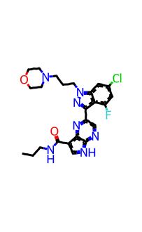 CCCNC(=O)c1c[nH]c2ncc(-c3nn(CCCN4CCOCC4)c4cc(Cl)cc(F)c34)nc12